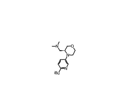 CCC(C)c1ccc(N2CCOC[C@@H]2CN(C)C)cn1